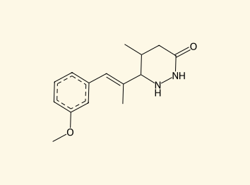 COc1cccc(/C=C(\C)C2NNC(=O)CC2C)c1